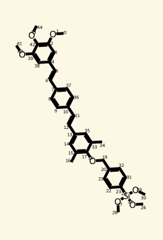 COc1cc(/C=C/c2ccc(/C=C/c3cc(C)c(OCc4ccc([Si](OC)(OC)OC)cc4)c(C)c3)cc2)cc(OC)c1OC